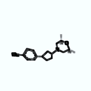 C[C@@H]1CN(C2CCC(c3ccc(C(C)(C)C)cc3)C2)C[C@H](C)O1